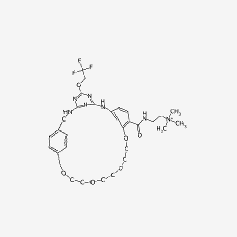 C[N+](C)(C)CCNC(=O)c1ccc2cc1OCCOCCOCCOc1ccc(cc1)CNc1nc(nc(OCC(F)(F)F)n1)N2